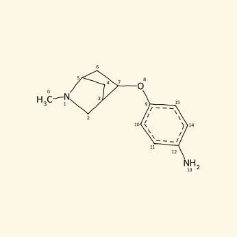 CN1CC2CC1CC2Oc1ccc(N)cc1